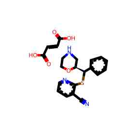 N#Cc1cccnc1SC(c1ccccc1)[C@@H]1CNCCO1.O=C(O)/C=C/C(=O)O